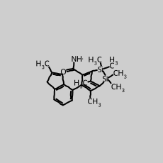 CC1=Cc2c(cccc2-c2c(C)c3c(C)c(c2C([NH])=O)[Si](C)(C)[Si]3(C)C)C1